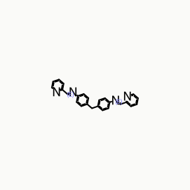 C(=N\c1ccc(Cc2ccc(/N=C/c3ccccn3)cc2)cc1)/c1ccccn1